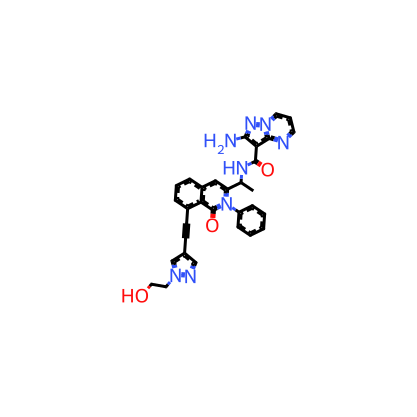 CC(NC(=O)c1c(N)nn2cccnc12)c1cc2cccc(C#Cc3cnn(CCO)c3)c2c(=O)n1-c1ccccc1